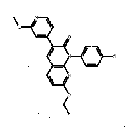 CCOc1ccc2cc(-c3ccnc(OC)c3)c(=O)n(-c3ccc(Cl)cc3)c2n1